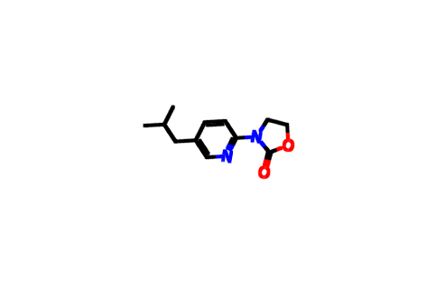 CC(C)Cc1ccc(N2CCOC2=O)nc1